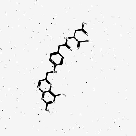 Nc1nc(N)c2nc(CNc3ccc(CC(=O)N[C@@H](CC(=O)O)C(=O)O)cc3)cnc2n1